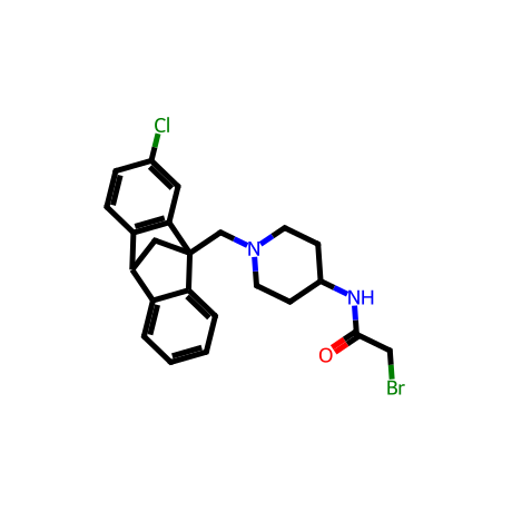 O=C(CBr)NC1CCN(CC23CC(c4ccccc42)c2ccc(Cl)cc23)CC1